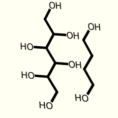 OCC(O)C(O)C(O)C(O)CO.OCCCCO